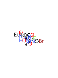 CCC(=O)Nc1cccc(-n2c(=O)n(C3CC3)c(=O)c3c(Nc4ccc(Br)cc4F)cc(=O)n(C)c32)c1